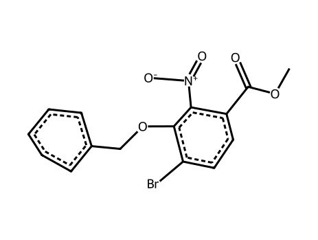 COC(=O)c1ccc(Br)c(OCc2ccccc2)c1[N+](=O)[O-]